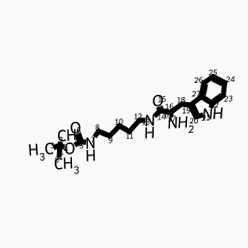 CC(C)(C)OC(=O)NCCCCCNC(=O)[C@H](N)Cc1c[nH]c2ccccc12